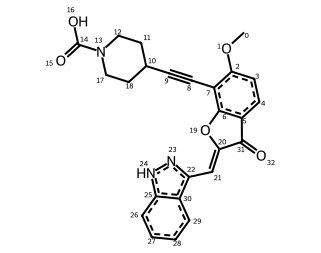 COc1ccc2c(c1C#CC1CCN(C(=O)O)CC1)O/C(=C\c1n[nH]c3ccccc13)C2=O